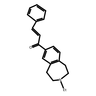 CCN1CCc2ccc(C(=O)C=Cc3ccccc3)cc2CC1